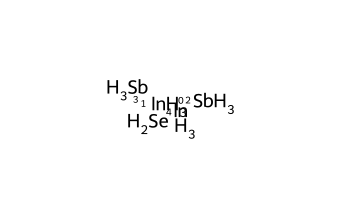 [InH3].[InH3].[SbH3].[SbH3].[SeH2]